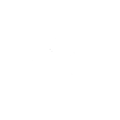 Cc1oc(-c2ccccc2)nc1CCOc1ccc(C=O)c2ccccc12